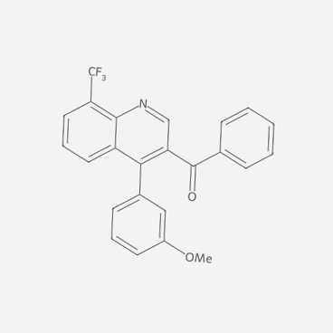 COc1cccc(-c2c(C(=O)c3ccccc3)cnc3c(C(F)(F)F)cccc23)c1